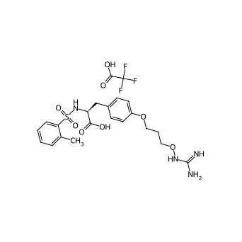 Cc1ccccc1S(=O)(=O)N[C@@H](Cc1ccc(OCCCONC(=N)N)cc1)C(=O)O.O=C(O)C(F)(F)F